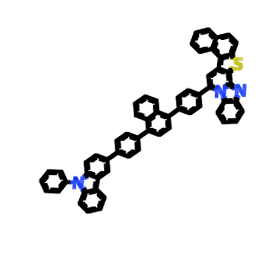 c1ccc(-n2c3ccccc3c3cc(-c4ccc(-c5ccc(-c6ccc(-c7cc8c(sc9ccc%10ccccc%10c98)c8nc9ccccc9n78)cc6)c6ccccc56)cc4)ccc32)cc1